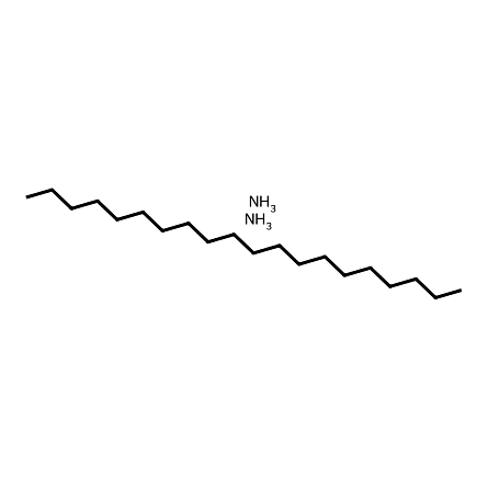 CCCCCCCCCCCCCCCCCCCC.N.N